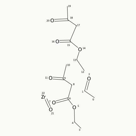 CC=O.CCOC(=O)CC(C)=O.CCOC(=O)CC(C)=O.[O]=[Zr]